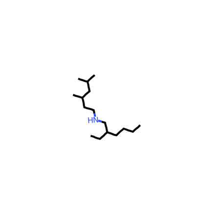 CCCCC(CC)CNCCC(C)CC(C)C